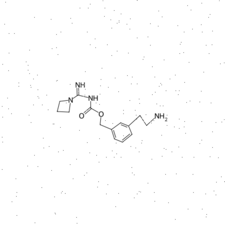 N=C(NC(=O)OCc1cccc(CCN)c1)N1CCC1